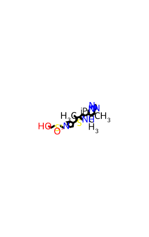 Cc1c(-c2[nH]c3sc(C4CC5CC4CN5CC[S+]([O-])CCO)c(C)c3c2C(C)C)cn2ncnc2c1C